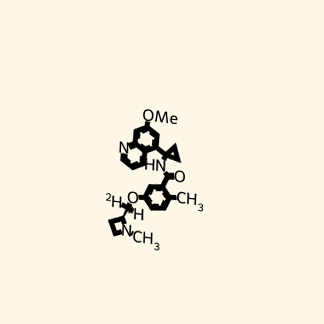 [2H]C([2H])(Oc1ccc(C)c(C(=O)NC2(c3cc(OC)cc4ncccc34)CC2)c1)[C@@H]1CCN1C